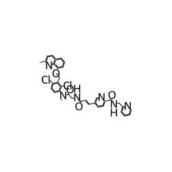 Cc1ccc2cccc(OCc3c(Cl)ccc(N(C)C(=O)CNC(=O)/C=C/c4ccc(C(=O)NCc5ccccn5)nc4)c3Cl)c2n1